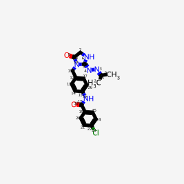 CC(C)=NN=C1NCC(=O)N1Cc1ccc(NC(=O)c2ccc(Cl)cc2)cc1